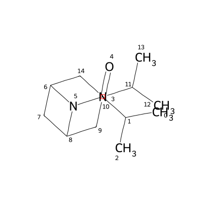 CC(C)C(=O)N1C2CC1CN(C(C)C)C2